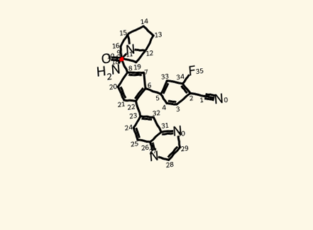 N#Cc1ccc(-c2cc(C(=O)N3C4CCC3CC(N)C4)ccc2-c2ccc3nccnc3c2)cc1F